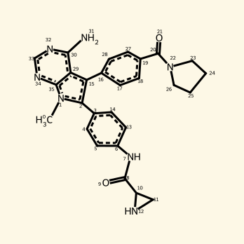 Cn1c(-c2ccc(NC(=O)C3CN3)cc2)c(-c2ccc(C(=O)N3CCCC3)cc2)c2c(N)ncnc21